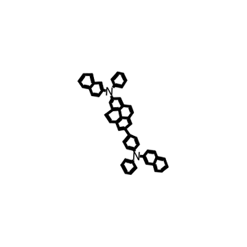 c1ccc(N(c2ccc(-c3cc4ccc5cc(N(c6ccccc6)c6ccc7ccccc7c6)cc6ccc(c3)c4c56)cc2)c2ccc3ccccc3c2)cc1